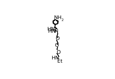 CCNCCOCCOCCOCCN1C=C(c2ccc(N)cc2)NN1